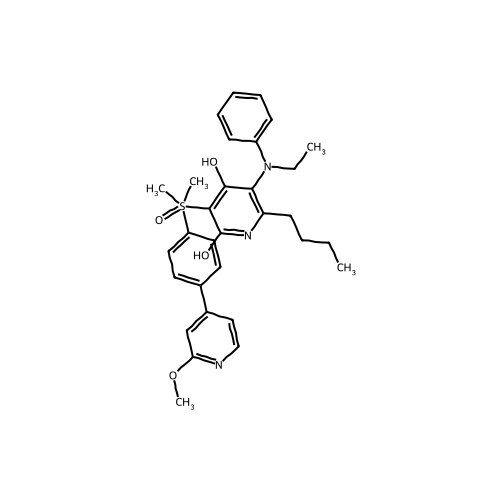 CCCCc1nc(O)c(S(C)(C)(=O)c2ccc(-c3ccnc(OC)c3)cc2)c(O)c1N(CC)c1ccccc1